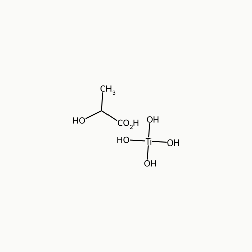 CC(O)C(=O)O.[OH][Ti]([OH])([OH])[OH]